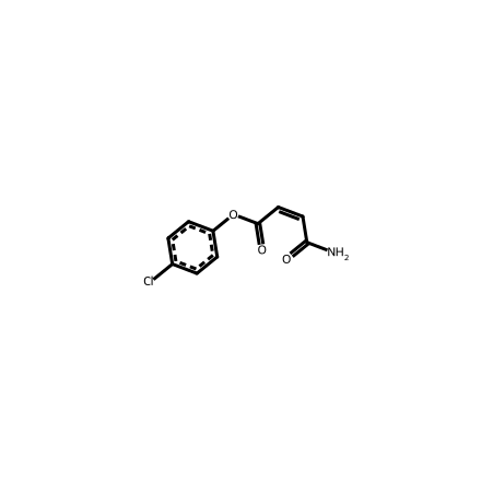 NC(=O)/C=C\C(=O)Oc1ccc(Cl)cc1